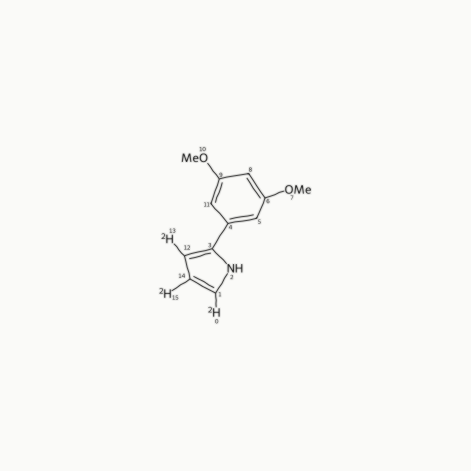 [2H]c1[nH]c(-c2cc(OC)cc(OC)c2)c([2H])c1[2H]